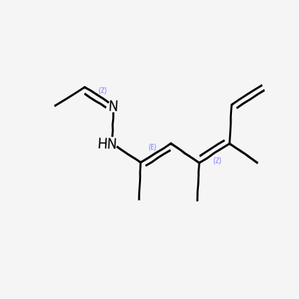 C=C/C(C)=C(C)\C=C(/C)N/N=C\C